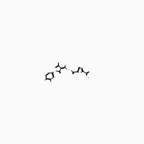 CNC(=O)c1ccc(C(=O)NN/C(C)=C2\C(=O)N(c3ccc(C)c(C)c3)N=C2C)s1